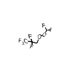 FC(F)OOCC(F)(F)C(F)(F)F